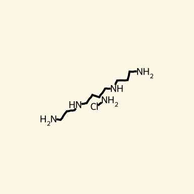 NCCCNCCCCNCCCN.NCl